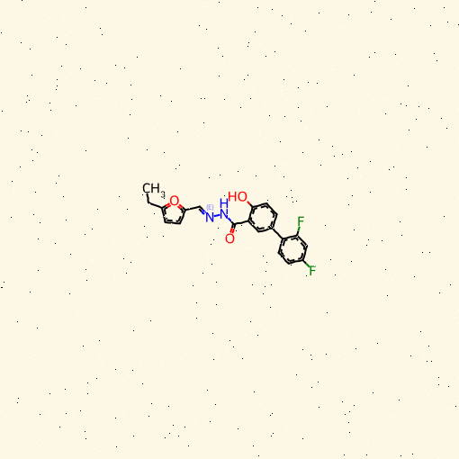 CCc1ccc(/C=N/NC(=O)c2cc(-c3ccc(F)cc3F)ccc2O)o1